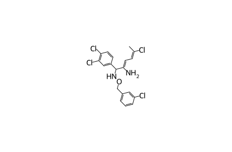 C/C(Cl)=C\C=C(/N)C(NOCc1cccc(Cl)c1)c1ccc(Cl)c(Cl)c1